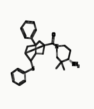 CC1(C)CN(C(=O)C23CC4C(Sc5ccccc5)C2CC4(c2ccccc2)C3)CC[C@@H]1N